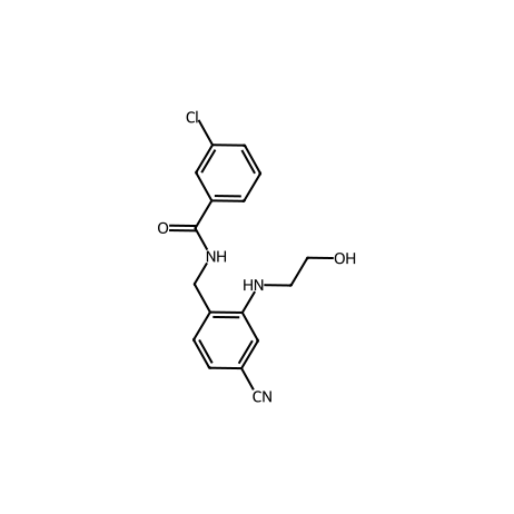 N#Cc1ccc(CNC(=O)c2cccc(Cl)c2)c(NCCO)c1